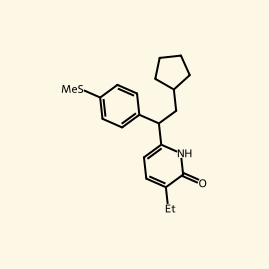 CCc1ccc(C(CC2CCCC2)c2ccc(SC)cc2)[nH]c1=O